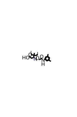 Cc1cc(C)cc(NC(=O)CO/N=C(/CC(=O)O)C(C)(CI)CI)c1